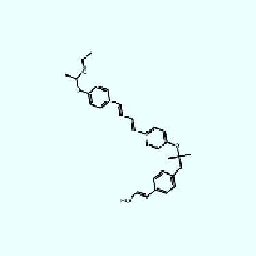 CCOC(C)Oc1ccc(C=CC=Cc2ccc(OC(C)(C)Cc3ccc(C=CO)cc3)cc2)cc1